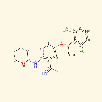 CC(Oc1ccc(NC2CCCCO2)c(C(=N)I)c1)c1c(Cl)cncc1Cl